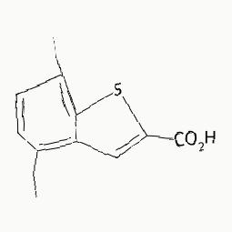 Cc1ccc(C)c2sc(C(=O)O)cc12